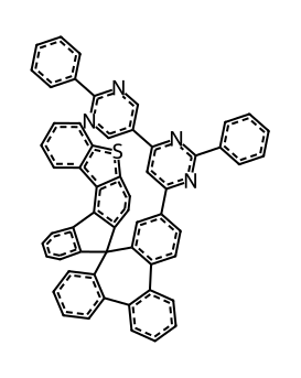 c1ccc(-c2ncc(-c3cc(-c4ccc5c(c4)C4(c6ccccc6-c6ccccc6-5)c5ccccc5-c5c4ccc4sc6ccccc6c54)nc(-c4ccccc4)n3)cn2)cc1